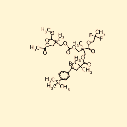 COC(=O)[C@](C)(COC(C)=O)COC(=O)OC[C@](C)(COC(=O)C(C)(C)C[C@H](Br)c1ccc([Si](C)(C)C)cc1)C(=O)OCC(C)(F)F